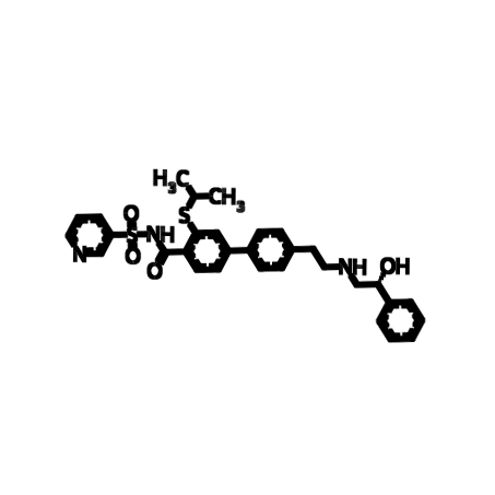 CC(C)Sc1cc(-c2ccc(CCNC[C@H](O)c3ccccc3)cc2)ccc1C(=O)NS(=O)(=O)c1cccnc1